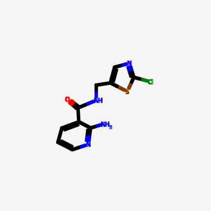 Nc1ncccc1C(=O)NCc1cnc(Cl)s1